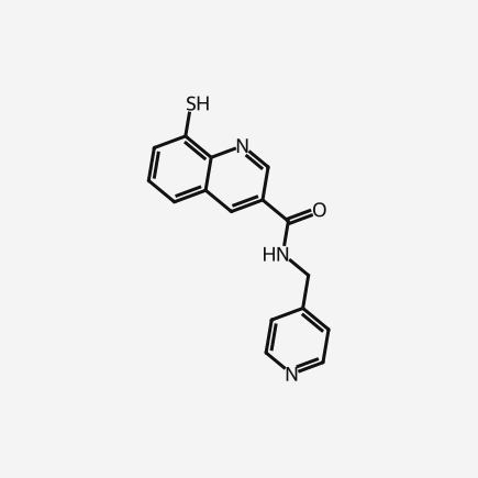 O=C(NCc1ccncc1)c1cnc2c(S)cccc2c1